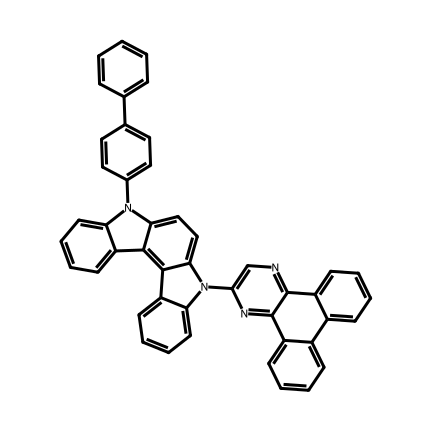 c1ccc(-c2ccc(-n3c4ccccc4c4c5c6ccccc6n(-c6cnc7c8ccccc8c8ccccc8c7n6)c5ccc43)cc2)cc1